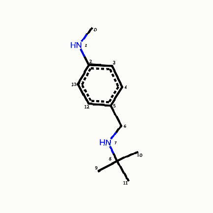 CNc1ccc(CNC(C)(C)C)cc1